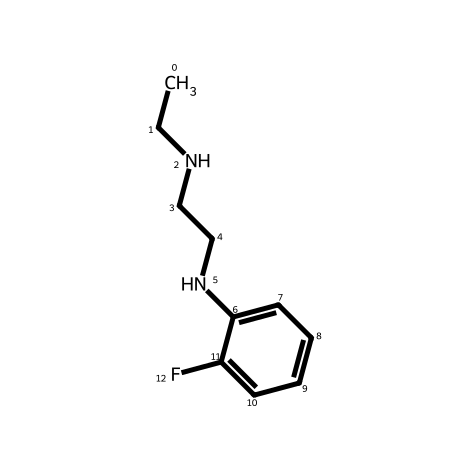 CCNCCNc1ccccc1F